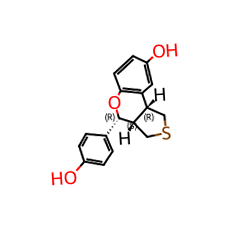 Oc1ccc([C@@H]2Oc3ccc(O)cc3[C@@H]3CSC[C@@H]32)cc1